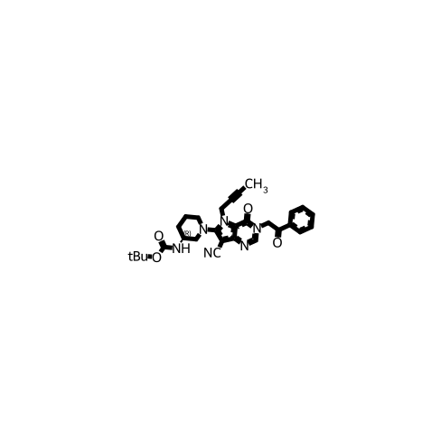 CC#CCn1c(N2CCC[C@@H](NC(=O)OC(C)(C)C)C2)c(C#N)c2ncn(CC(=O)c3ccccc3)c(=O)c21